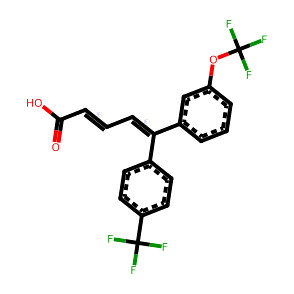 O=C(O)/C=C/C=C(\c1ccc(C(F)(F)F)cc1)c1cccc(OC(F)(F)F)c1